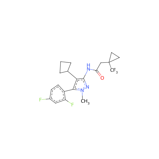 Cn1nc(NC(=O)CC2(C(F)(F)F)CC2)c(C2CCC2)c1-c1ccc(F)cc1F